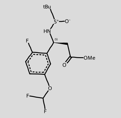 COC(=O)C[C@H](N[S+]([O-])C(C)(C)C)c1cc(OC(F)F)ccc1F